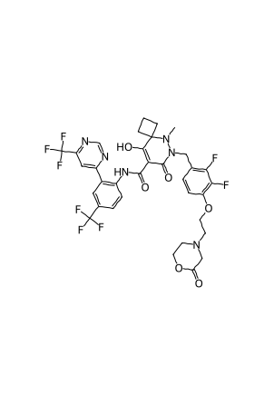 CN1N(Cc2ccc(OCCN3CCOC(=O)C3)c(F)c2F)C(=O)C(C(=O)Nc2ccc(C(F)(F)F)cc2-c2cc(C(F)(F)F)ncn2)=C(O)C12CCC2